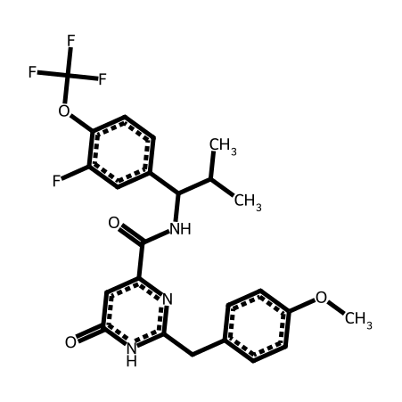 COc1ccc(Cc2nc(C(=O)NC(c3ccc(OC(F)(F)F)c(F)c3)C(C)C)cc(=O)[nH]2)cc1